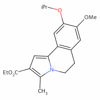 CCOC(=O)c1cc2n(c1C)CCc1cc(OC)c(OC(C)C)cc1-2